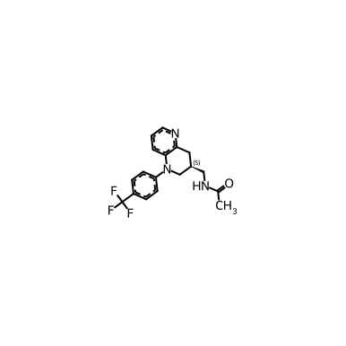 CC(=O)NC[C@@H]1Cc2ncccc2N(c2ccc(C(F)(F)F)cc2)C1